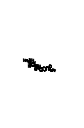 CCCOC(=O)CC1CCc2ccc(C(=O)Nc3ccc(NC(=N)N)cc3)cc2C1